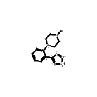 CN1CCN(c2ccccc2-c2nn[nH]n2)CC1